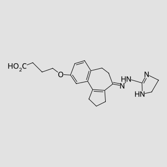 O=C(O)CCCOc1ccc2c(c1)C1=C(CCC1)/C(=N/NC1=NCCN1)CC2